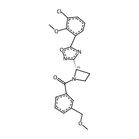 COCc1cccc(C(=O)N2CC[C@H]2c2noc(-c3cccc(Cl)c3OC)n2)c1